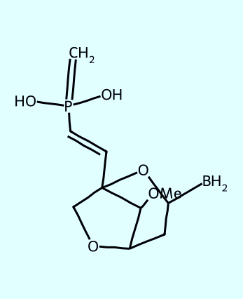 BC1CC2OCC(/C=C/P(=C)(O)O)(O1)C2OC